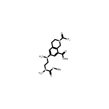 COC(=O)c1cc(N(C)CCN(C)C(=O)OC(C)(C)C)cc2c1CN(C(=O)C(F)(F)F)CC2